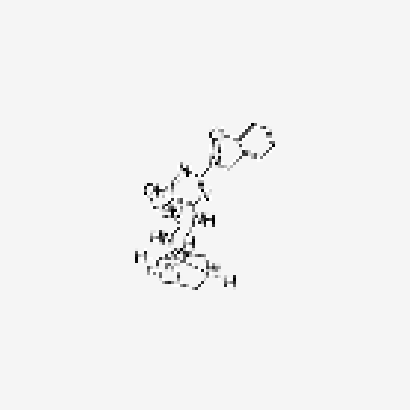 N#Cc1cnc(NCc2ccccc2Cl)nc1NC[C@@]12CC3C[C@H](C1)[C@@H](NCCCO)[C@@H](C3)C2